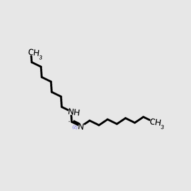 CCCCCCCC/N=[C]\NCCCCCCCC